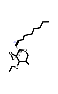 CCCCCCC/C=C\[C@@H]1OCC(C)C(OCC)[C@]12CO2